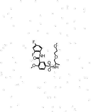 COCCOCC(C)NS(=O)(=O)c1ccc(OC)c(C(=O)Nc2ccc(F)cc2F)c1